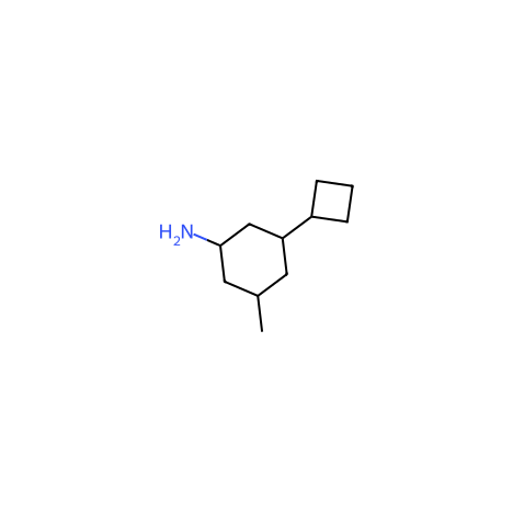 CC1CC(N)CC(C2CCC2)C1